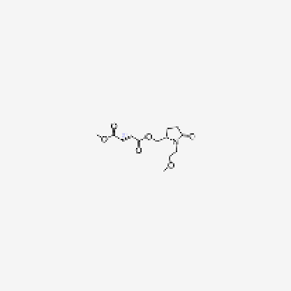 COCCN1C(=O)CCC1COC(=O)/C=C/C(=O)OC